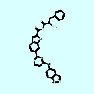 NC(Cc1ccccc1)C(=O)OC(=O)c1cc2ccc(-c3nccc(Nc4ccc5[nH]ncc5c4)n3)cc2[nH]1